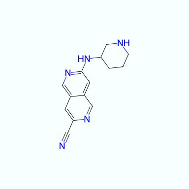 N#Cc1cc2cnc(NC3CCCNC3)cc2cn1